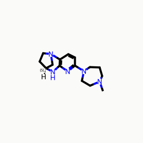 CN1CCCN(c2ccc3c(n2)N[C@H]2CCN3C2)CC1